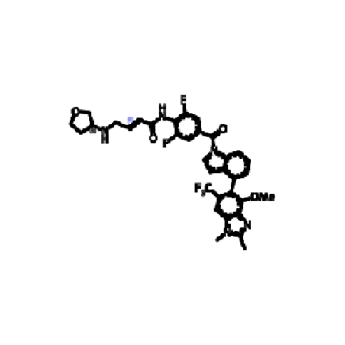 COc1c(-c2cccc3c2ccn3C(=O)c2cc(F)c(NC(=O)/C=C/CN[C@H]3CCOC3)c(F)c2)c(C(F)(F)F)cc2c1nc(C)n2C